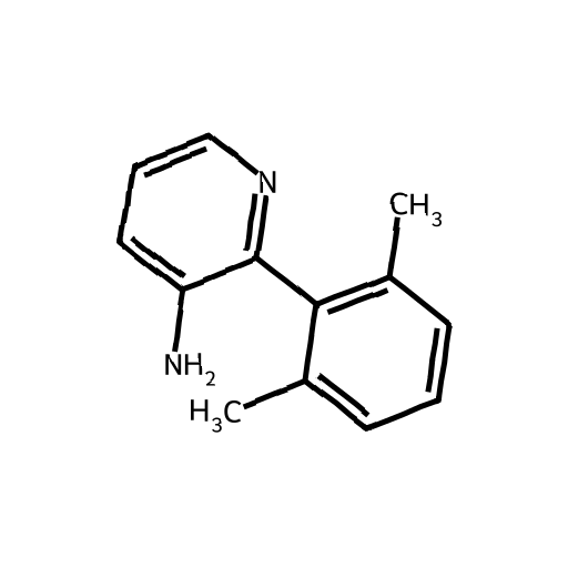 Cc1cccc(C)c1-c1ncccc1N